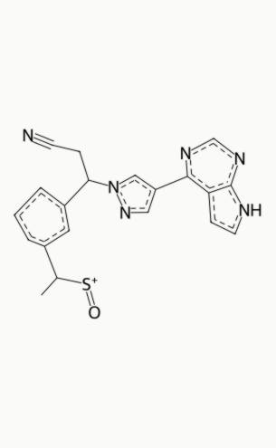 CC([S+]=O)c1cccc(C(CC#N)n2cc(-c3ncnc4[nH]ccc34)cn2)c1